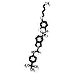 CCCCCOc1ccc(NS(=O)(=O)c2ccc3c(c2)CN(C(=O)Nc2ccc(C(C)(C)C)cc2)C3)c(F)c1